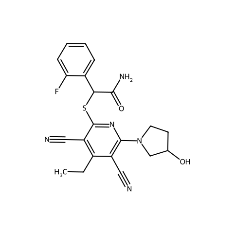 CCc1c(C#N)c(SC(C(N)=O)c2ccccc2F)nc(N2CCC(O)C2)c1C#N